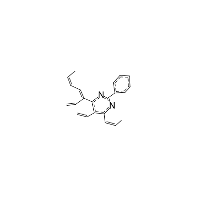 C=C/C(=C\C=C/C)c1nc(-c2ccccc2)nc(/C=C\C)c1C=C